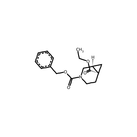 CCOC(=O)[C@]12CCN(C(=O)OCc3ccccc3)C[C@H]1C2